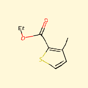 CCOC(=O)c1sccc1C